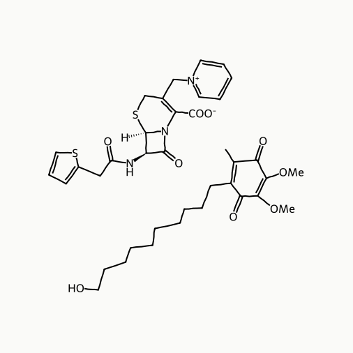 COC1=C(OC)C(=O)C(CCCCCCCCCCO)=C(C)C1=O.O=C(Cc1cccs1)N[C@@H]1C(=O)N2C(C(=O)[O-])=C(C[n+]3ccccc3)CS[C@H]12